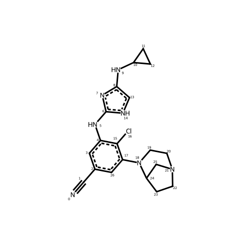 N#Cc1cc(Nc2nc(NC3CC3)c[nH]2)c(Cl)c(N2CCN3CCC2C3)c1